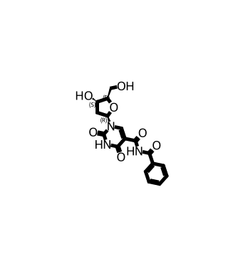 O=C(NC(=O)c1cn([C@H]2C[C@H](O)[C@@H](CO)O2)c(=O)[nH]c1=O)c1ccccc1